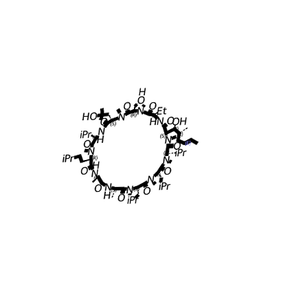 C/C=C/C[C@@H](C)[C@@H](O)[C@H]1C(=O)N[C@@H](CC)C(=O)N(C)[C@H](CO)C(=O)N(C)[C@@H](CC(C)(C)O)C(=O)N[C@H](C(C)C)C(=O)N(C)[C@H](CCC(C)C)C(=O)N[C@H](C)C(=O)N[C@@H](C)C(=O)N(C)[C@@H](CC(C)C)C(=O)N(C)[C@@H](CC(C)C)C(=O)N(C)[C@@H](C(C)C)C(=O)N1C